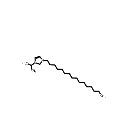 CCCCCCCCCCCCCCCCN1C=CN(C(C)C)C1